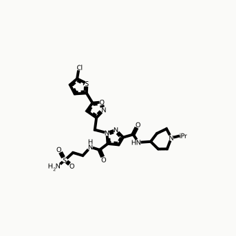 CC(C)N1CCC(NC(=O)c2cc(C(=O)NCCS(N)(=O)=O)n(Cc3cc(-c4ccc(Cl)s4)on3)n2)CC1